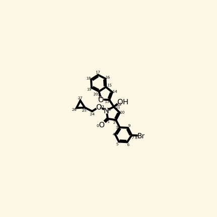 O=C1C(c2cccc(Br)c2)=CC(O)(c2cc3ccccc3o2)N1OCC1CC1